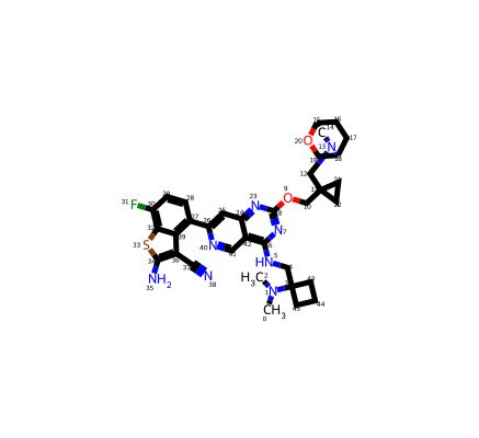 CN(C)C1(CNc2nc(OCC3(CN4CC5CCC4CO5)CC3)nc3cc(-c4ccc(F)c5sc(N)c(C#N)c45)ncc23)CCC1